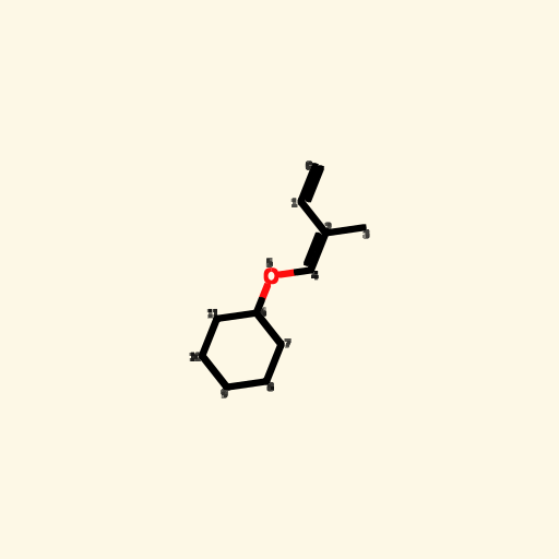 C=CC(C)=COC1CCCCC1